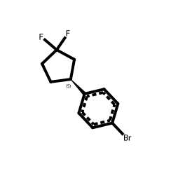 FC1(F)CC[C@H](c2ccc(Br)cc2)C1